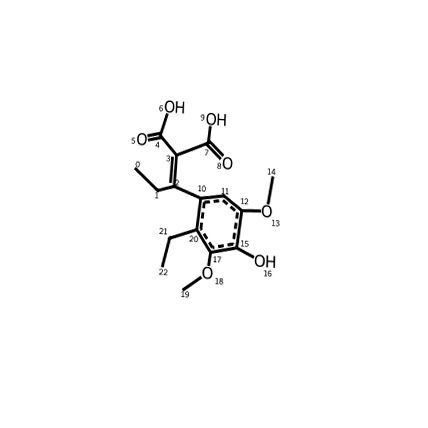 CCC(=C(C(=O)O)C(=O)O)c1cc(OC)c(O)c(OC)c1CC